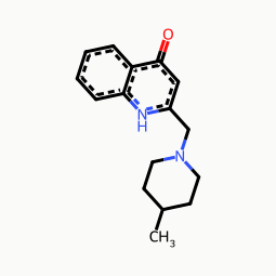 CC1CCN(Cc2cc(=O)c3ccccc3[nH]2)CC1